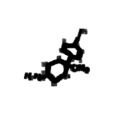 CO[C@]1(c2ccc(F)cc2)CC[C@H](N)CC1